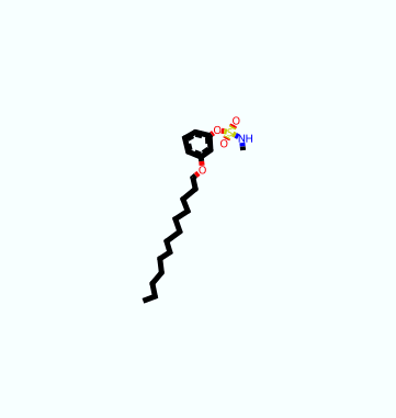 CCCCCCCCCCCCCOc1cccc(OS(=O)(=O)NC)c1